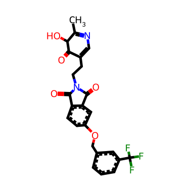 CC1=NC=C(CCN2C(=O)c3ccc(OCc4cccc(C(F)(F)F)c4)cc3C2=O)C(=O)C1O